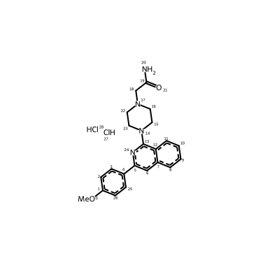 COc1ccc(-c2cc3ccccc3c(N3CCN(CC(N)=O)CC3)n2)cc1.Cl.Cl